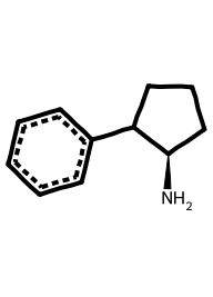 N[C@@H]1CCCC1c1ccccc1